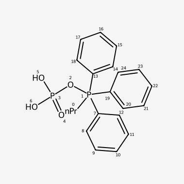 CCCP(OP(=O)(O)O)(c1ccccc1)(c1ccccc1)c1ccccc1